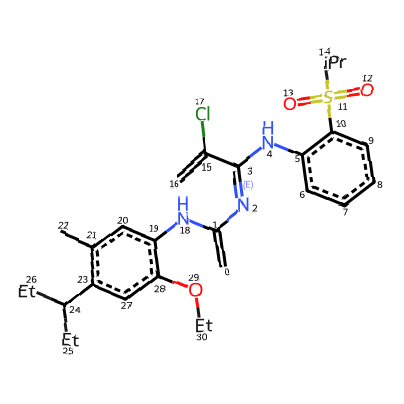 C=C(/N=C(/Nc1ccccc1S(=O)(=O)C(C)C)C(=C)Cl)Nc1cc(C)c(C(CC)CC)cc1OCC